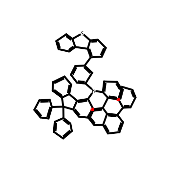 c1ccc(-c2cccc3cccc(-c4ccccc4N(c4cccc(-c5cccc6sc7ccccc7c56)c4)c4cccc5c4-c4ccccc4C5(c4ccccc4)c4ccccc4)c23)cc1